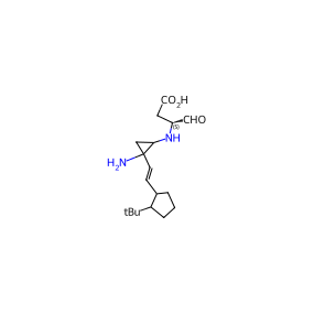 CC(C)(C)C1CCCC1C=CC1(N)CC1N[C@H](C=O)CC(=O)O